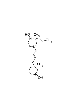 C=CC[C@@]1(C)CN(O/C=C/C[C@]2(C)CCCN(O)C2)CCN1O